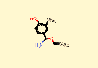 CCCCCCCCCOC(N)c1ccc(O)c(OC)c1